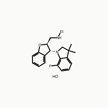 CCNC[C@@H]1Oc2ccccc2[C@H]1N1CC(C)(C)c2cccc(F)c21.Cl